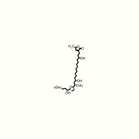 CCCCCCCCCCCC[C@@H](O)[C@H]1CC[C@H]([C@@H](C[C@H](O)CCCCCCCCCC(O)CCC2=CC(C)OC2=O)OC(C)=O)O1